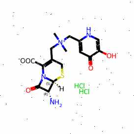 C[N+](C)(CC1=C(C(=O)[O-])N2C(=O)[C@@H](N)[C@@H]2SC1)Cc1cc(=O)c(O)c[nH]1.Cl.Cl